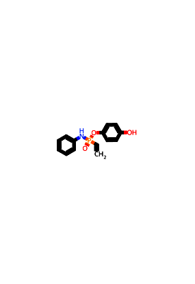 C=CP(=O)(Nc1ccccc1)Oc1ccc(O)cc1